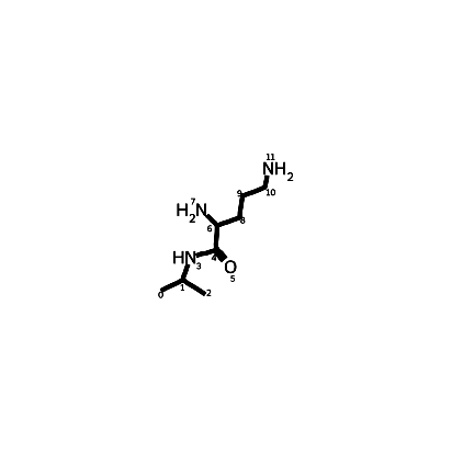 CC(C)NC(=O)C(N)CCCN